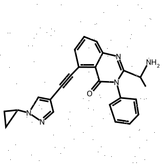 CC(N)c1nc2cccc(C#Cc3cnn(C4CC4)c3)c2c(=O)n1-c1ccccc1